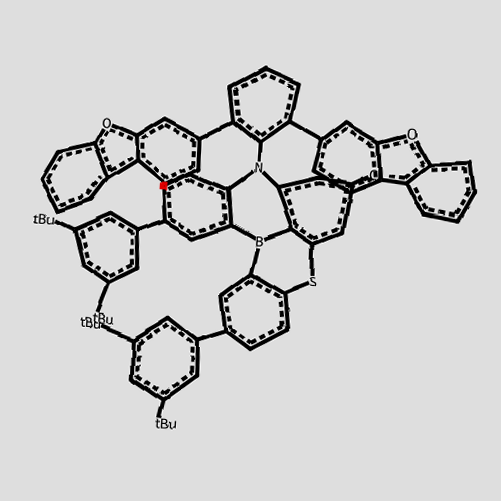 CC(C)(C)c1cc(-c2ccc3c(c2)B2c4cc(-c5cc(C(C)(C)C)cc(C(C)(C)C)c5)ccc4N(c4c(-c5ccc6c(c5)oc5ccccc56)cccc4-c4ccc5c(c4)oc4ccccc45)c4cc(Cl)cc(c42)S3)cc(C(C)(C)C)c1